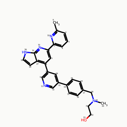 Cc1cccc(-c2cc(-c3cncc(-c4ccc(CN(C)CCO)cc4)c3)c3cc[nH]c3n2)n1